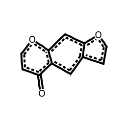 O=c1ccoc2cc3occc3[c]c12